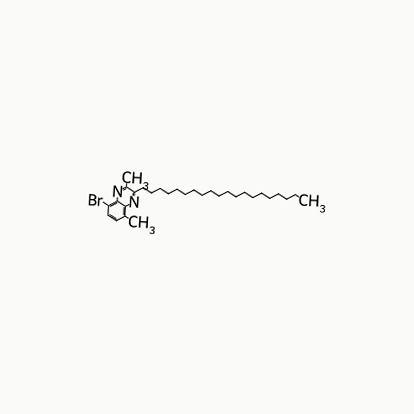 CCCCCCCCCCCCCCCCCCCCc1nc2c(C)ccc(Br)c2nc1C